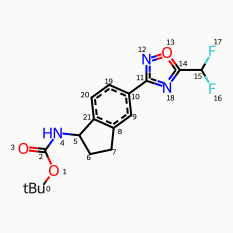 CC(C)(C)OC(=O)NC1CCc2cc(-c3noc(C(F)F)n3)ccc21